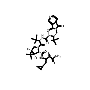 CC(C)(C)[C@H](NC(=O)N[C@H](CN1C(=O)c2ccncc2C1=O)C(C)(C)C)C(=O)N1C[C@H]2[C@@H]([C@H]1C(=O)NC(CC1CC1)C(=O)C(N)=O)C2(C)C